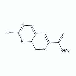 COC(=O)c1ccc2nc(Cl)ncc2c1